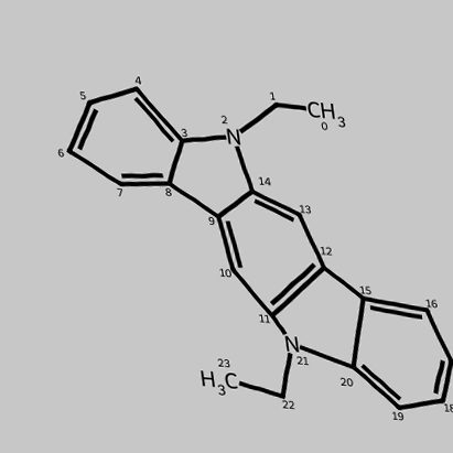 CCn1c2ccccc2c2cc3c(cc21)c1ccccc1n3CC